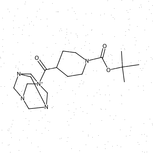 CC(C)(C)OC(=O)N1CCC(C(=O)[N+]23CN4CN(CN(C4)C2)C3)CC1